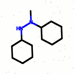 CN(NC1CCCCC1)C1CCCCC1